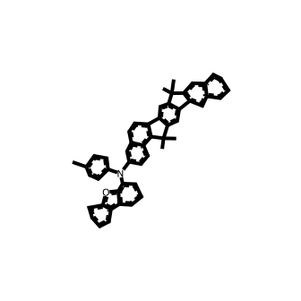 Cc1ccc(N(c2ccc3c4c(ccc3c2)-c2cc3c(cc2C4(C)C)-c2cc4ccccc4cc2C3(C)C)c2cccc3c2oc2ccccc23)cc1